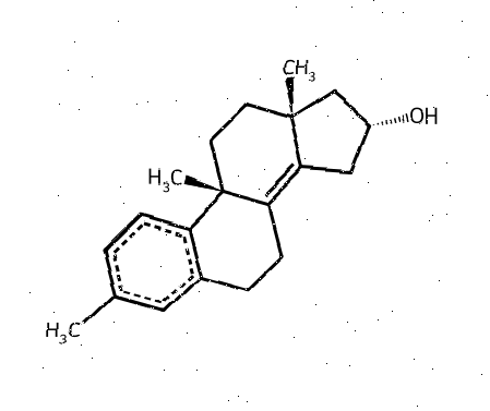 Cc1ccc2c(c1)CCC1=C3C[C@@H](O)C[C@@]3(C)CC[C@]12C